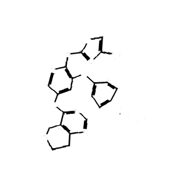 Cc1csc(Nc2ncc(Sc3ncnc4c3CNCC4)cc2Oc2ccccc2)n1.Cl.Cl.Cl